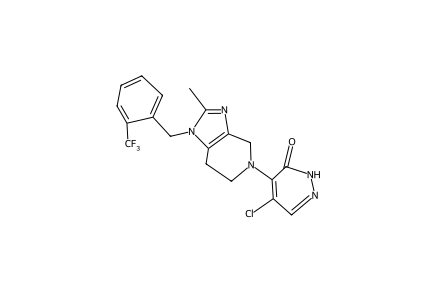 Cc1nc2c(n1Cc1ccccc1C(F)(F)F)CCN(c1c(Cl)cn[nH]c1=O)C2